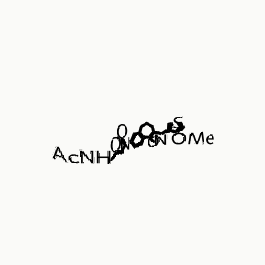 COc1cscc1-c1noc2c1CCCc1cc(N3CC(CNC(C)=O)OC3=O)ccc1-2